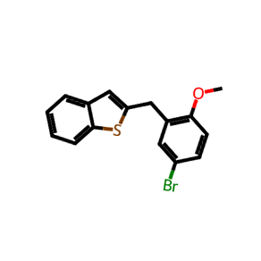 COc1ccc(Br)cc1Cc1cc2ccccc2s1